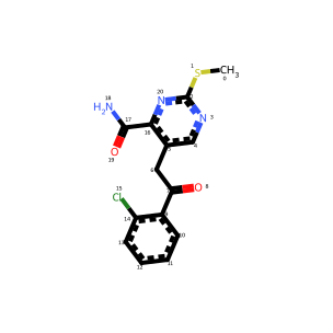 CSc1ncc(CC(=O)c2ccccc2Cl)c(C(N)=O)n1